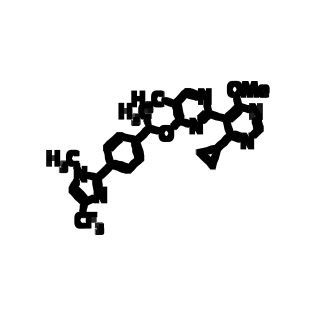 COc1ncnc(C2CC2)c1-c1ncc(C)c(O[C@H](C)c2ccc(-c3nc(C(F)(F)F)cn3C)cc2)n1